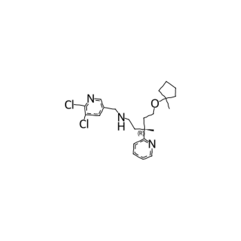 CC1(OCC[C@@](C)(CCNCc2cnc(Cl)c(Cl)c2)c2ccccn2)CCCC1